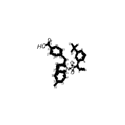 C=CC(c1cccc(C(C)(C)C)c1)S(=O)(=O)n1c(Cc2ccc(C(=O)O)cc2)cc2cc(C)ccc21